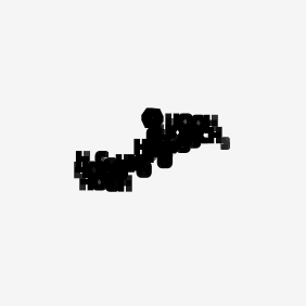 C[C@@H]1O[C@@H](OCCNC(=O)CC[C@H](NC(=O)OCc2ccccc2)C(=O)NCCO[C@@H]2O[C@@H](C)[C@@H](O)[C@@H](O)[C@@H]2O)[C@@H](O)[C@H](O)[C@@H]1O